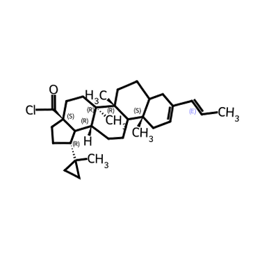 C/C=C/C1=CC[C@@]2(C)C(CC[C@]3(C)C2CC[C@@H]2C4[C@H](C5(C)CC5)CC[C@]4(C(=O)Cl)CC[C@]23C)C1